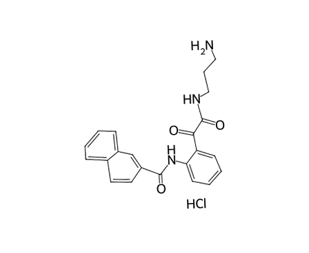 Cl.NCCCNC(=O)C(=O)c1ccccc1NC(=O)c1ccc2ccccc2c1